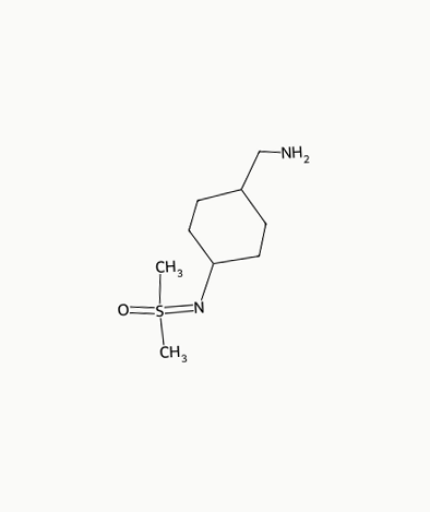 CS(C)(=O)=NC1CCC(CN)CC1